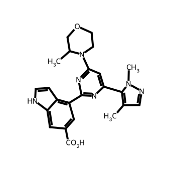 Cc1cnn(C)c1-c1cc(N2CCOCC2C)nc(-c2cc(C(=O)O)cc3[nH]ccc23)n1